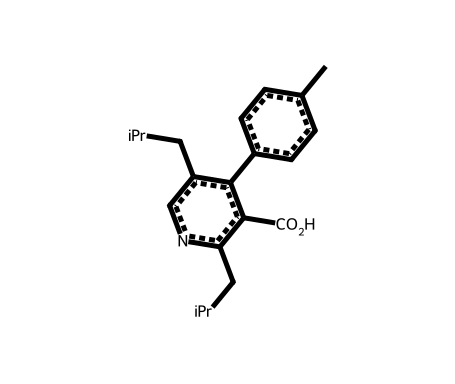 Cc1ccc(-c2c(CC(C)C)cnc(CC(C)C)c2C(=O)O)cc1